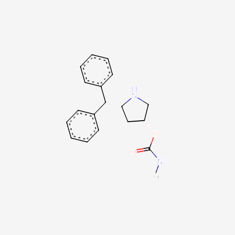 CCNC(=O)O[C@H]1CN[C@@H](C(c2ccccc2)c2ccccc2)C1